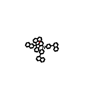 c1ccc2c(c1)-c1c(N(c3ccc(-c4cccc5ccccc45)cc3)c3ccc(-c4cccc5ccccc45)cc3)cccc1C2(c1ccc2ccccc2c1)c1cccc2ccccc12